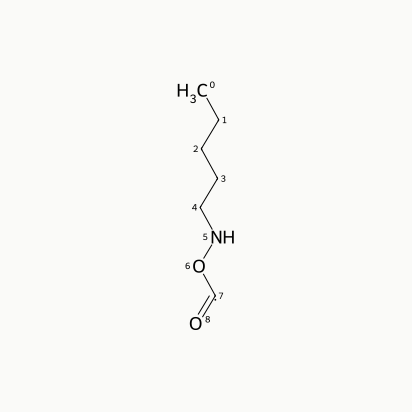 CCCCCNO[C]=O